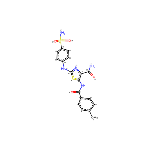 COc1ccc(C(=O)Nc2sc(Nc3ccc(S(N)(=O)=O)cc3)nc2C(N)=O)cc1